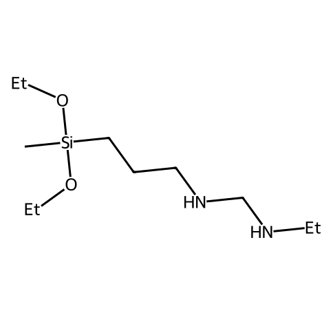 CCNCNCCC[Si](C)(OCC)OCC